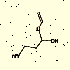 C=COC(O)CCCCC